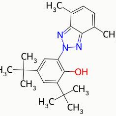 Cc1ccc(C)c2nn(-c3cc(C(C)(C)C)cc(C(C)(C)C)c3O)nc12